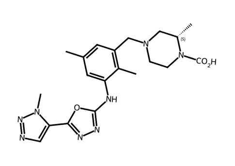 Cc1cc(CN2CCN(C(=O)O)[C@@H](C)C2)c(C)c(Nc2nnc(-c3cnnn3C)o2)c1